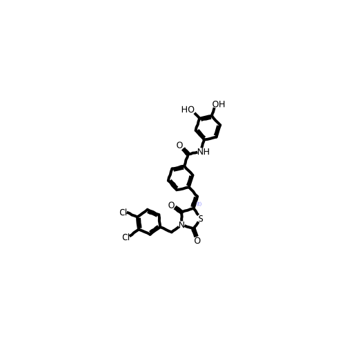 O=C(Nc1ccc(O)c(O)c1)c1cccc(/C=C2/SC(=O)N(Cc3ccc(Cl)c(Cl)c3)C2=O)c1